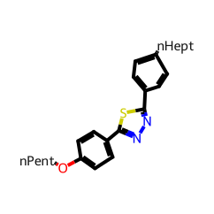 CCCCCCCc1ccc(-c2nnc(-c3ccc(OCCCCC)cc3)s2)cc1